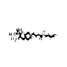 CC(C)CCCNC(=O)CCCN1CCC(CC(C)CN(C)C)CC1